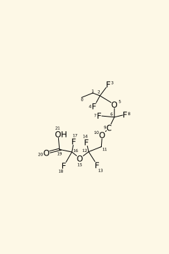 CCC(F)(F)OC(F)(F)COCC(F)(F)OC(F)(F)C(=O)O